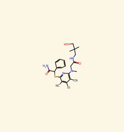 CCc1c(C#N)c(SC(C(N)=O)c2ccccc2)nc(N(C)CC(=O)NCC(C)(C)CO)c1C#N